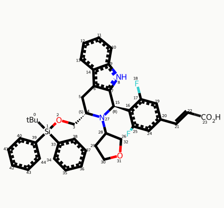 CC(C)(C)[Si](OC[C@@H]1Cc2c([nH]c3ccccc23)[C@@H](c2c(F)cc(C=CC(=O)O)cc2F)N1C1CCOC1)(c1ccccc1)c1ccccc1